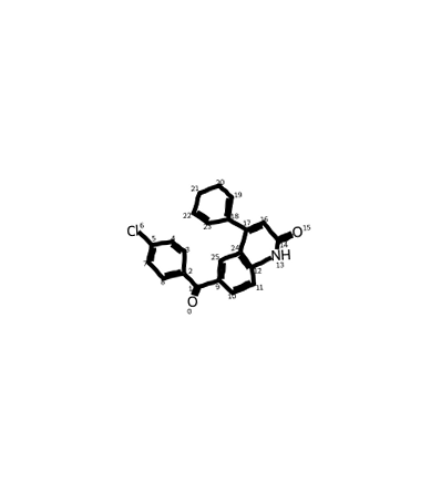 O=C(c1ccc(Cl)cc1)c1ccc2[nH]c(=O)cc(C3=CCCC=C3)c2c1